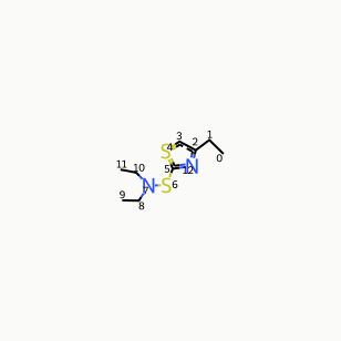 CCc1csc(SN(CC)CC)n1